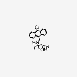 CCC(CO)(CO)NCc1c2ccccc2c(Cl)c2ccccc12